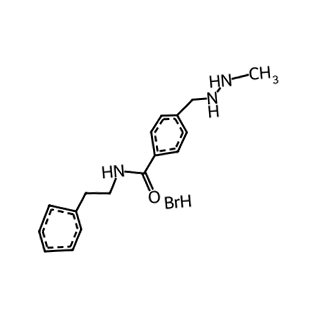 Br.CNNCc1ccc(C(=O)NCCc2ccccc2)cc1